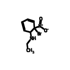 CCNC1C=CC=CC1(Br)[N+](=O)[O-]